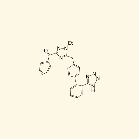 CCn1nc(C(=O)c2ccccc2)nc1Cc1ccc(-c2ccccc2-c2nnn[nH]2)cc1